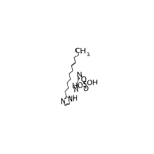 CCCCCCCCCCCc1ncc[nH]1.N#CC#N.O=S(=O)(O)O